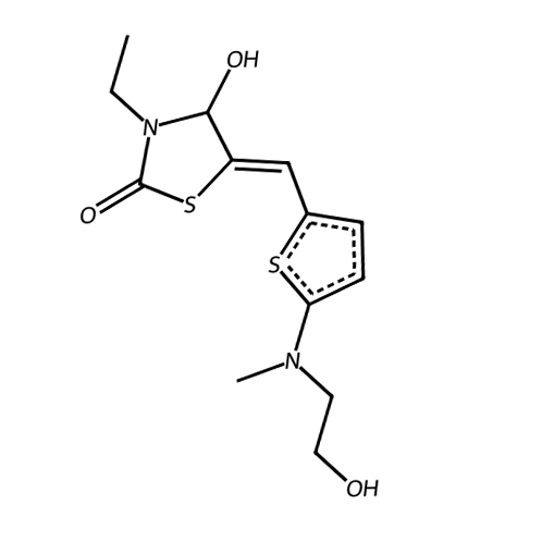 CCN1C(=O)S/C(=C\c2ccc(N(C)CCO)s2)C1O